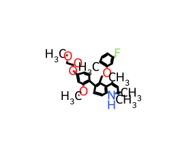 COCC(=O)Oc1ccc(-c2ccc3c(c2COc2cc(F)ccc2C)C(C)=CC(C)(C)N3)c(OC)c1